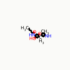 CCCCCC(=O)Nc1cc(Oc2c(C)cc([NH])cc2C)ccc1O